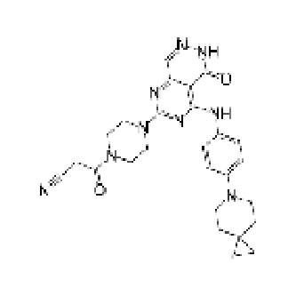 N#CCC(=O)N1CCN(c2nc(Nc3ccc(N4CCC5(CC4)CC5)cc3)c3c(=O)[nH]ncc3n2)CC1